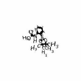 CC1(C)OB(c2cccnc2NC(=O)O)OC1(C)C